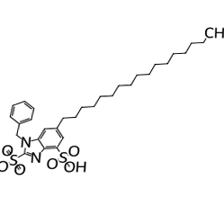 CCCCCCCCCCCCCCCCCc1cc(S(=O)(=O)O)c2nc(S(=O)(=O)O)n(Cc3ccccc3)c2c1